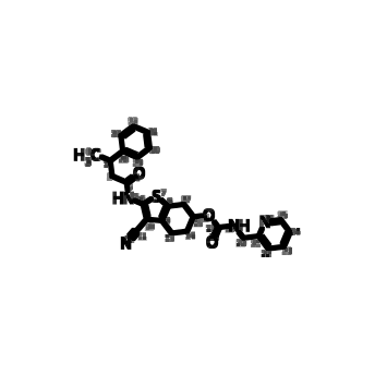 CC(CC(=O)Nc1sc2c(c1C#N)CCC(OC(=O)NCc1ccccn1)C2)c1ccccc1